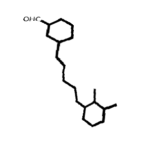 CC1CCCC(CCCCCC2CCCC(C=O)C2)C1C